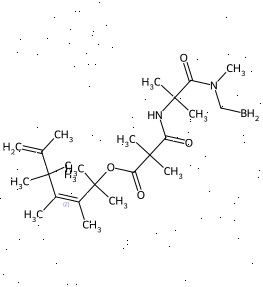 BCN(C)C(=O)C(C)(C)NC(=O)C(C)(C)C(=O)OC(C)(C)/C(C)=C(/C)C(C)(C)C(=C)C